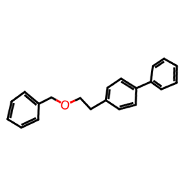 c1ccc(COCCc2ccc(-c3ccccc3)cc2)cc1